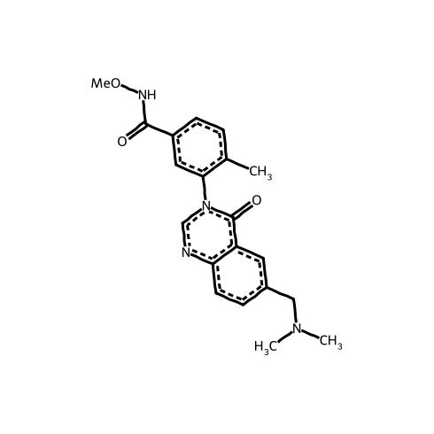 CONC(=O)c1ccc(C)c(-n2cnc3ccc(CN(C)C)cc3c2=O)c1